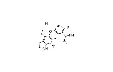 CSC(=N)c1cc(Oc2c(F)c(F)c3[nH]ccc3c2SC)ccc1F.I